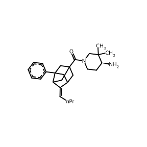 CCC/C=C1\C2CC3(C(=O)N4CC[C@H](N)C(C)(C)C4)CC1C(c1ccccc1)(C2)C3